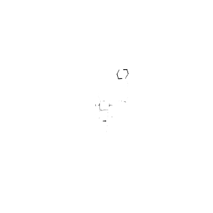 CC(COCc1ccccc1)CO[C@@H]1OC(CO)[C@@H](O)[C@H](O)C1NC(=O)OCC(Cl)(Cl)Cl